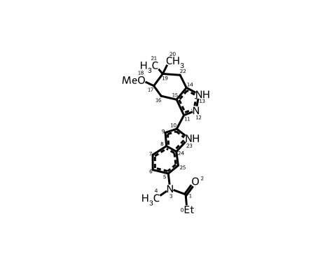 CCC(=O)N(C)c1ccc2cc(-c3n[nH]c4c3CC(OC)C(C)(C)C4)[nH]c2c1